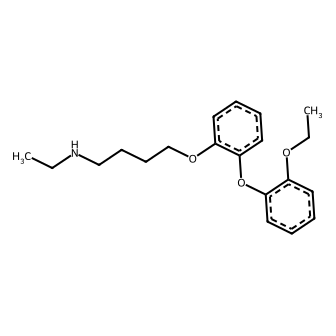 CCNCCCCOc1ccccc1Oc1ccccc1OCC